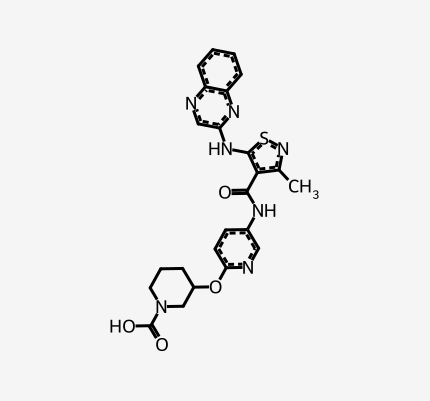 Cc1nsc(Nc2cnc3ccccc3n2)c1C(=O)Nc1ccc(OC2CCCN(C(=O)O)C2)nc1